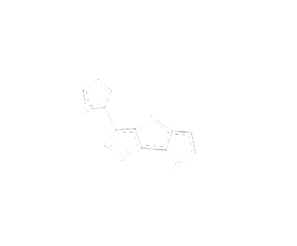 c1csc(-c2csc3c2sc2ccsc23)c1